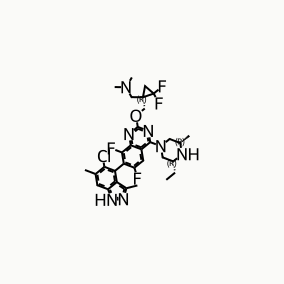 CC[C@@H]1CN(c2nc(OC[C@]3(CN(C)C)CC3(F)F)nc3c(F)c(-c4c(Cl)c(C)cc5[nH]nc(C)c45)c(F)cc23)C[C@@H](C)N1